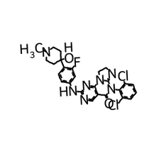 CN1CCC(O)(c2ccc(Nc3ncc4c(n3)N3CCN=C3N(c3c(Cl)cccc3Cl)C4=O)cc2F)CC1